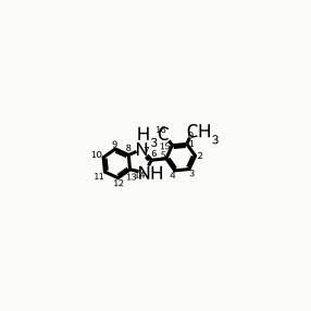 Cc1cccc(-c2nc3ccccc3[nH]2)c1C